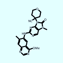 COc1ncnc2cc(C)c(Nc3ncc4c(n3)n(C3(C#N)CCOCC3)c(=O)n4C)cc12